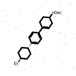 CCCCCCCCCCC1CC=C(c2ccc([C@H]3CC[C@H](CC)CC3)cc2)CC1